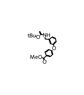 C=C(NCc1cccc(Oc2ccc(C(=O)OC)cc2)c1)OC(C)(C)C